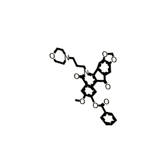 COc1cc2c(=O)n(CCCN3CCOCC3)c3c(c2cc1OC(=O)c1ccccc1)C(=O)c1cc2c(cc1-3)OCO2